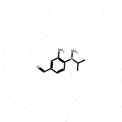 CC(C)N(N)c1ccc(C=O)cc1N